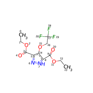 CCOC(=O)c1n[nH]c(C(=O)OCC)c1OCC(F)(F)F